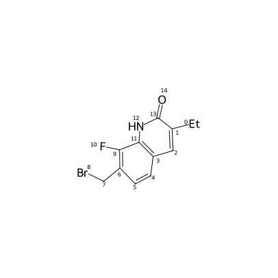 CCc1cc2ccc(CBr)c(F)c2[nH]c1=O